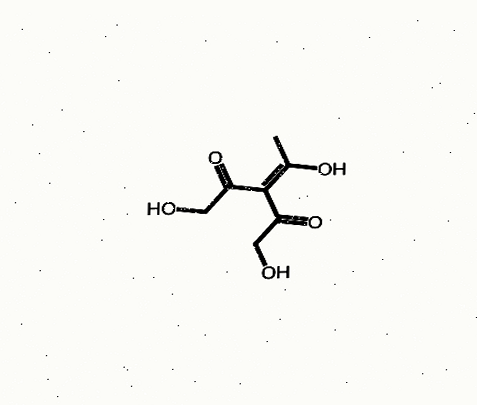 CC(O)=C(C(=O)CO)C(=O)CO